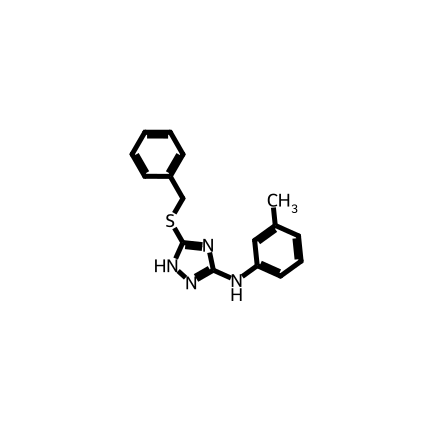 Cc1cccc(Nc2n[nH]c(SCc3ccccc3)n2)c1